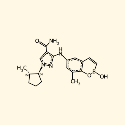 Cc1cc(Nc2nn([C@H]3CCC[C@@H]3C)cc2C(N)=O)cc2c1OB(O)C=C2